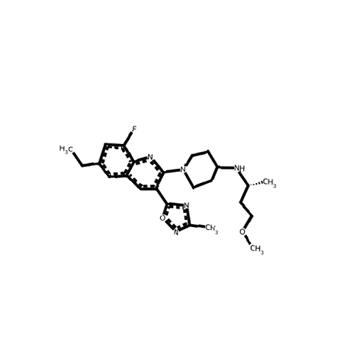 CCc1cc(F)c2nc(N3CCC(N[C@H](C)CCOC)CC3)c(-c3nc(C)no3)cc2c1